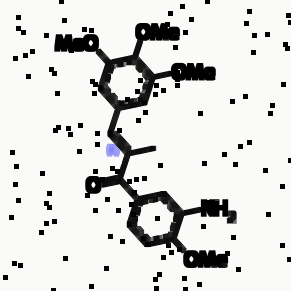 COc1ccc(C(=O)/C(C)=C/c2cc(OC)c(OC)c(OC)c2)cc1N